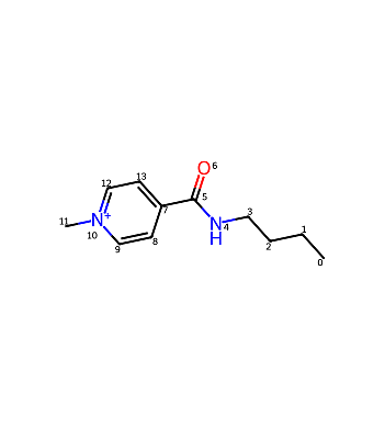 CCCCNC(=O)c1cc[n+](C)cc1